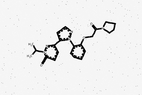 CC(C)n1nc(-c2ccnn2-c2ccccc2OCC(=O)N2CCCC2)ccc1=O